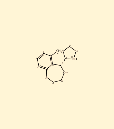 Cc1cccc2c1[C@H](C1CCCN1)OCCC2